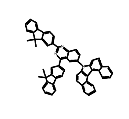 CC1(C)c2ccccc2-c2ccc(-c3nc(-c4ccc5c(c4)C(C)(C)c4ccccc4-5)c4cc(-n5c6ccc7ccccc7c6c6c7ccccc7ccc65)ccc4n3)cc21